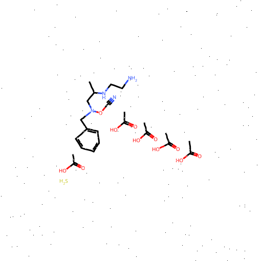 CC(=O)O.CC(=O)O.CC(=O)O.CC(=O)O.CC(=O)O.CC(CN(Cc1ccccc1)OC#N)NCCN.S